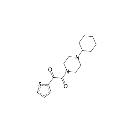 O=C(C(=O)N1CCN(C2CCCCC2)CC1)c1cccs1